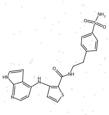 NS(=O)(=O)c1ccc(CCNC(=O)c2sccc2Nc2ccnc3[nH]ccc23)cc1